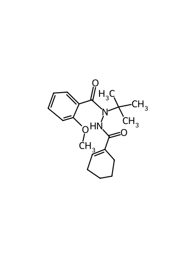 COc1ccccc1C(=O)N(NC(=O)C1=CCCCC1)C(C)(C)C